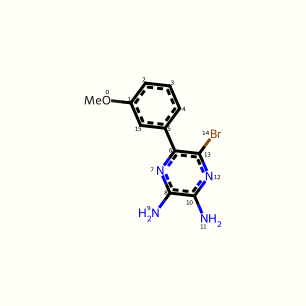 COc1cccc(-c2nc(N)c(N)nc2Br)c1